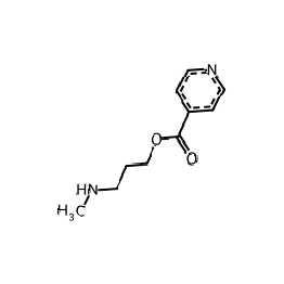 CNCCCOC(=O)c1ccncc1